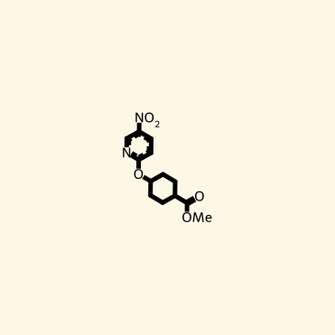 COC(=O)C1CCC(Oc2ccc([N+](=O)[O-])cn2)CC1